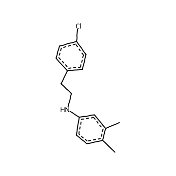 Cc1ccc(NCCc2ccc(Cl)cc2)cc1C